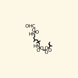 CC=C(C)C(=O)OC(=O)COC(=O)NCC(C)(C)CC(C)CCNC(=O)OCC=O